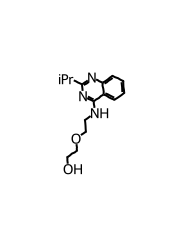 CC(C)c1nc(NCCOCCO)c2ccccc2n1